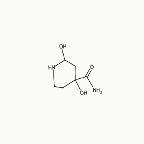 NC(=O)C1(O)CCNC(O)C1